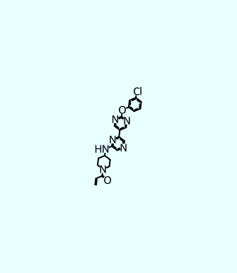 C=CC(=O)N1CCC(Nc2cncc(-c3cnc(Oc4cccc(Cl)c4)nc3)n2)CC1